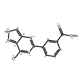 COC(=O)c1cccc(-c2nc(Cl)c3n[nH]cc3n2)c1